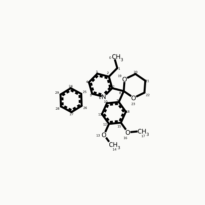 CCc1cccnc1C1(c2ccc(OC)c(OC)c2)OCCCO1.c1ccccc1